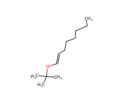 CCCCCCC=COC(C)(C)C